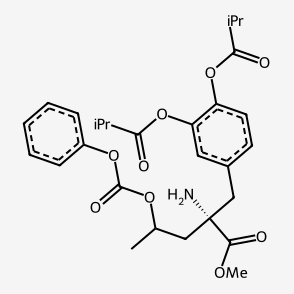 COC(=O)[C@](N)(Cc1ccc(OC(=O)C(C)C)c(OC(=O)C(C)C)c1)CC(C)OC(=O)Oc1ccccc1